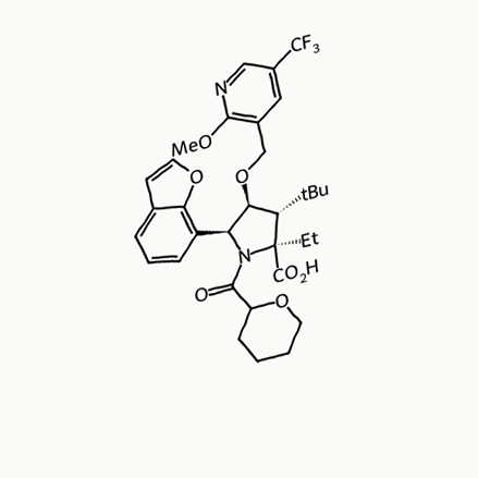 CC[C@@]1(C(=O)O)[C@@H](C(C)(C)C)[C@H](OCc2cc(C(F)(F)F)cnc2OC)[C@H](c2cccc3ccoc23)N1C(=O)C1CCCCO1